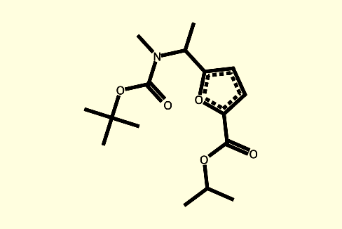 CC(C)OC(=O)c1ccc(C(C)N(C)C(=O)OC(C)(C)C)o1